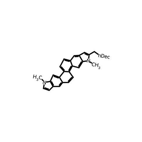 CCCCCCCCCCCc1cc2cc3ccc4c5cc6c(ccn6C)cc5ccc4c3cc2n1C